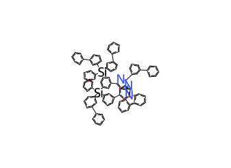 c1ccc(-c2cccc(-c3nc(-c4cc([Si](c5ccccc5)(c5cccc(-c6ccccc6)c5)c5cccc(-c6ccccc6)c5)cc([Si](c5ccccc5)(c5cccc(-c6ccccc6)c5)c5cccc(-c6ccccc6)c5)c4)cc(-n4c5ccccc5c5ccccc54)n3)c2)cc1